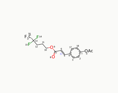 CC(=O)Oc1ccc(/C=C/C(=O)OCCCC(F)(F)C(F)(F)F)cc1